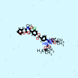 CN(C(=O)Cc1ccc(OC(=O)c2ccc(N/C(=N\C(=O)OC(C)(C)C)NC(=O)OC(C)(C)C)cc2)cc1Cl)[C@@H](Cc1ccccc1)C(=O)O